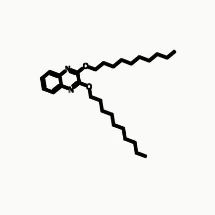 CCCCCCCCCCOc1nc2ccccc2nc1OCCCCCCCCCC